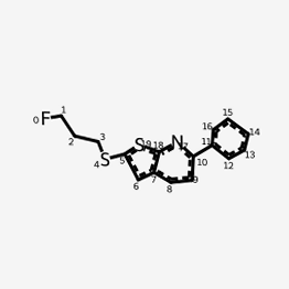 FCCCSc1cc2ccc(-c3ccccc3)nc2s1